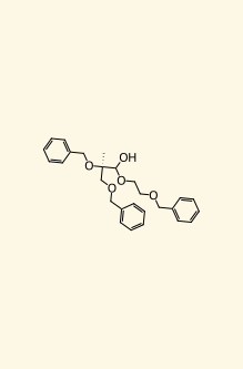 C[C@](COCc1ccccc1)(OCc1ccccc1)C(O)OCCOCc1ccccc1